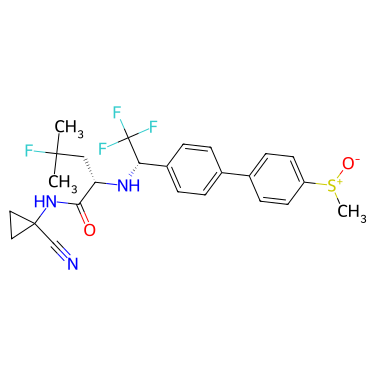 C[S+]([O-])c1ccc(-c2ccc([C@H](N[C@@H](CC(C)(C)F)C(=O)NC3(C#N)CC3)C(F)(F)F)cc2)cc1